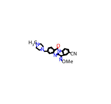 CO/N=C1\c2cc(C#N)ccc2-n2c1nc1cc(CN3CCN(C)CC3)ccc1c2=O